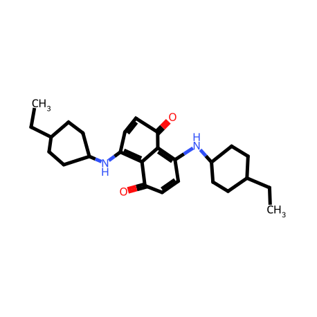 CCC1CCC(NC2=C3C(=O)C=CC(NC4CCC(CC)CC4)=C3C(=O)C=C2)CC1